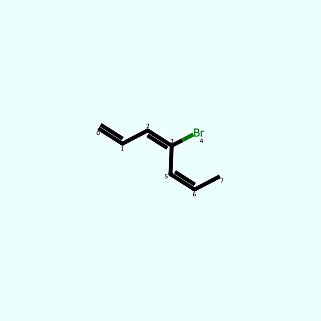 C=C/C=C(Br)\C=C/C